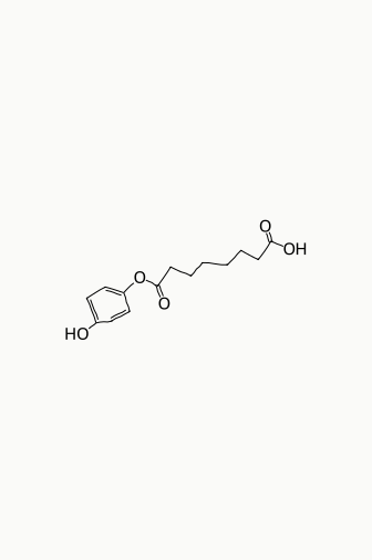 O=C(O)CCCCCCC(=O)Oc1ccc(O)cc1